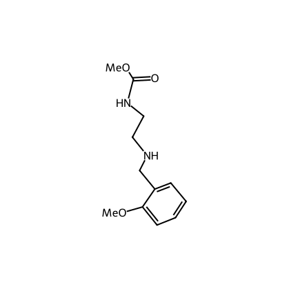 COC(=O)NCCNCc1ccccc1OC